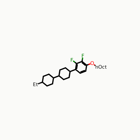 CCCCCCCCOc1ccc(C2CCC(C3CCC(CC)CC3)CC2)c(F)c1F